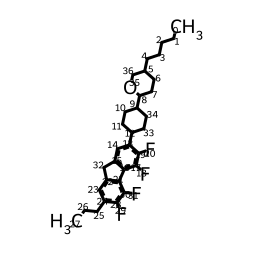 CCCCCC1CCC(C2CCC(c3cc4c(c(F)c3F)-c3c(cc(CCC)c(F)c3F)C4)CC2)OC1